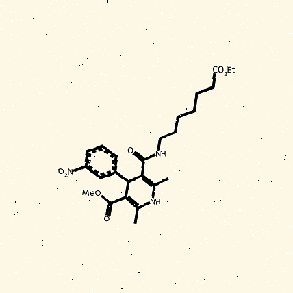 CCOC(=O)CCCCCCNC(=O)C1=C(C)NC(C)=C(C(=O)OC)C1c1cccc([N+](=O)[O-])c1